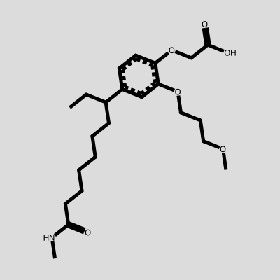 CCC(CCCCCCC(=O)NC)c1ccc(OCC(=O)O)c(OCCCOC)c1